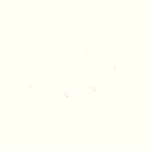 CCOC(=O)c1c(OCC)ncnc1OCC